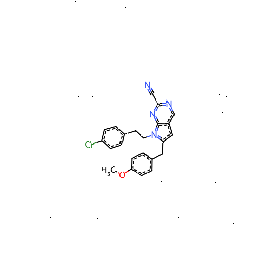 COc1ccc(Cc2cc3cnc(C#N)nc3n2CCc2ccc(Cl)cc2)cc1